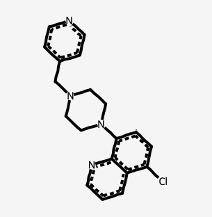 Clc1c[c]c(N2CCN(Cc3ccncc3)CC2)c2ncccc12